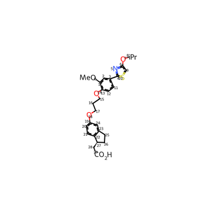 COc1cc(-c2nc(OC(C)C)cs2)ccc1OCCCOc1ccc2c(c1)CC[C@H]2CC(=O)O